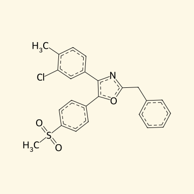 Cc1ccc(-c2nc(Cc3ccccc3)oc2-c2ccc(S(C)(=O)=O)cc2)cc1Cl